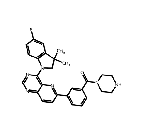 CC1(C)CN(c2ncnc3ccc(-c4cccc(C(=O)N5CCNCC5)c4)nc23)c2ccc(F)cc21